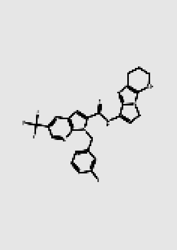 O=C(NC1=CCn2c1nc1c2NCCC1)c1cc2cc(C(F)(F)F)cnc2n1Cc1cccc(F)c1